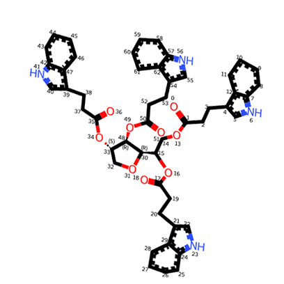 O=C(CCc1c[nH]c2ccccc12)OCC(OC(=O)CCc1c[nH]c2ccccc12)[C@H]1OC[C@H](OC(=O)CCc2c[nH]c3ccccc23)[C@H]1OC(=O)CCc1c[nH]c2ccccc12